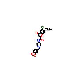 COc1cc2oc(C(=O)NC3CCN(Cc4ccc5c(c4)OCO5)CC3)cc(=O)c2cc1Cl